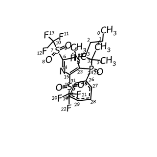 CCCC[N+]1(C)C(S(=O)(=O)C(F)(F)F)=NC(S(=O)(=O)C(F)(F)F)=C1P(=O)(c1ccccc1)C(C)(C)C